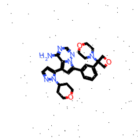 Nc1ncnn2c(-c3cccc(C4(N5CCOCC5)COC4)c3)cc(-c3ccnn3C3CCOCC3)c12